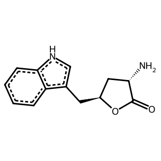 N[C@H]1C[C@H](Cc2c[nH]c3ccccc23)OC1=O